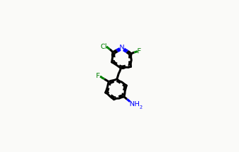 Nc1ccc(F)c(-c2cc(F)nc(Cl)c2)c1